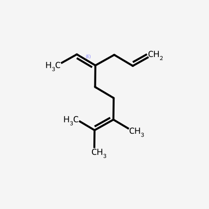 C=CC/C(=C/C)CCC(C)=C(C)C